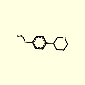 CNNc1ccc([C@@H]2CCCNC2)cc1